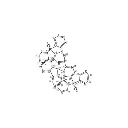 O=P(c1ccccc1)(c1ccccc1)c1cnc2c(c1)C1(c3ccccc3-c3ccccc31)c1cc(P(=O)(c3ccccc3)c3ccccc3)cnc1-2